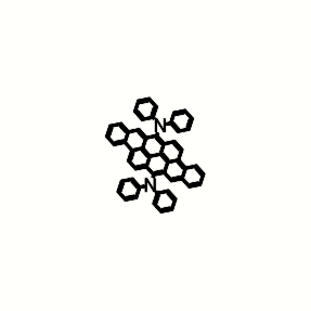 c1ccc(N(c2ccccc2)c2c3cc4ccccc4c4ccc5c(N(c6ccccc6)c6ccccc6)c6cc7ccccc7c7ccc2c(c67)c5c34)cc1